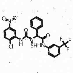 O=C(Nc1cccc(C(F)(F)F)c1)C(c1ccccc1)N(S)C(=O)Nc1cc([N+](=O)[O-])ccc1Cl